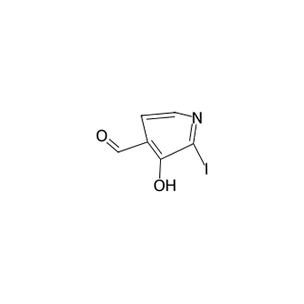 O=Cc1ccnc(I)c1O